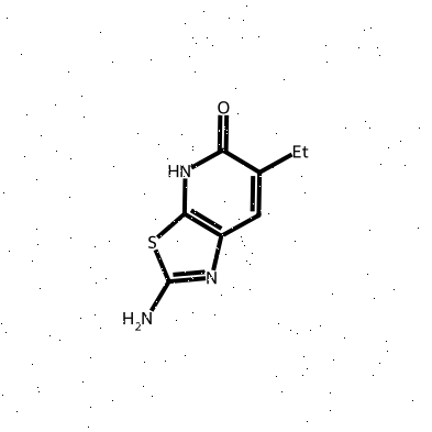 CCc1cc2nc(N)sc2[nH]c1=O